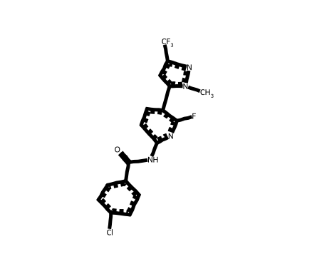 Cn1nc(C(F)(F)F)cc1-c1ccc(NC(=O)c2ccc(Cl)cc2)nc1F